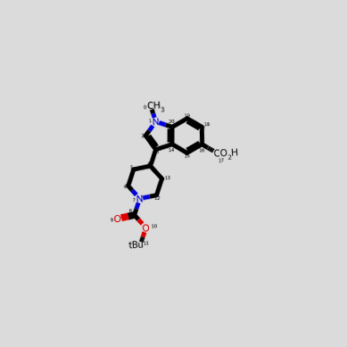 Cn1cc(C2CCN(C(=O)OC(C)(C)C)CC2)c2cc(C(=O)O)ccc21